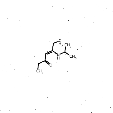 CCC(=O)C=C(CC)NC(C)C